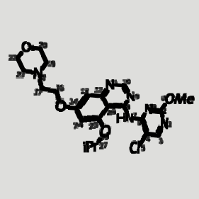 COc1ncc(Cl)c(Nc2ncnc3cc(OCCN4CCOCC4)cc(OC(C)C)c23)n1